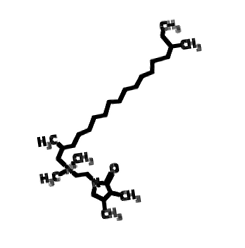 CCC(C)CCCCCCCCCCCCCC(C)C[N+](C)(C)CCN1CC(C)C(C)C1=O